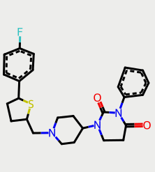 O=C1CCN(C2CCN(CC3CCC(c4ccc(F)cc4)S3)CC2)C(=O)N1c1ccccc1